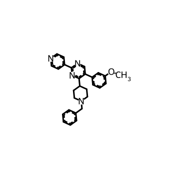 COc1cccc(-c2cnc(-c3ccncc3)nc2C2CCN(Cc3ccccc3)CC2)c1